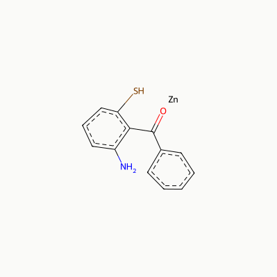 Nc1cccc(S)c1C(=O)c1ccccc1.[Zn]